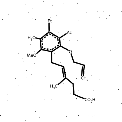 C=CCOc1c(C/C=C(\C)CCC(=O)O)c(OC)c(C)c(CC)c1C(C)=O